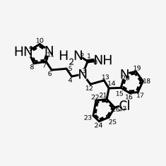 N=C(N)N(CCCc1c[nH]cn1)CCC(c1ccccn1)c1ccccc1Cl